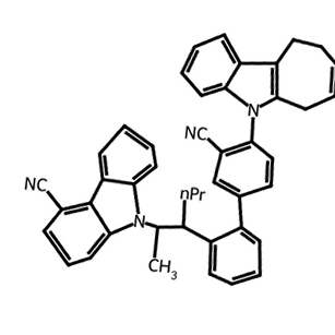 CCCC(c1ccccc1-c1ccc(-n2c3c(c4ccccc42)CCC=CC3)c(C#N)c1)C(C)n1c2ccccc2c2c(C#N)cccc21